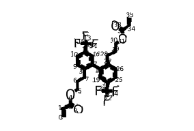 C=CC(=O)OCCCc1ccc(C(F)(F)F)cc1-c1cc(C(F)(F)F)ccc1CCCOC(=O)C=C